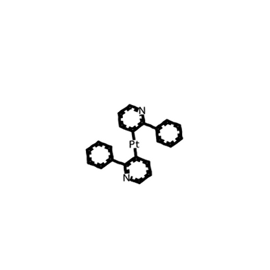 c1ccc(-c2nccc[c]2[Pt][c]2cccnc2-c2ccccc2)cc1